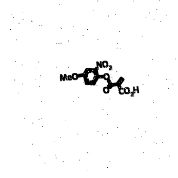 C=C(C(=O)O)C(=O)Oc1ccc(OC)cc1[N+](=O)[O-]